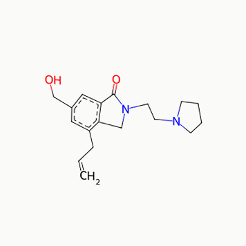 C=CCc1cc(CO)cc2c1CN(CCN1CCCC1)C2=O